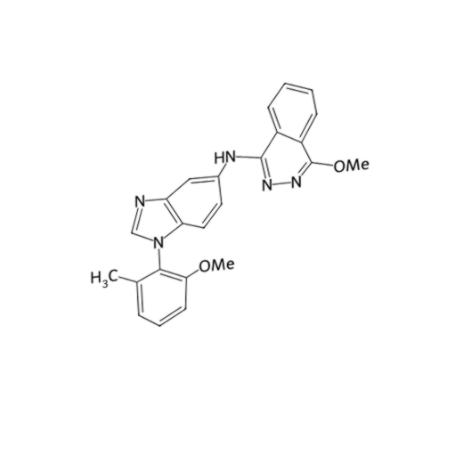 COc1cccc(C)c1-n1cnc2cc(Nc3nnc(OC)c4ccccc34)ccc21